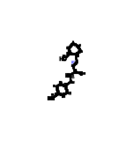 O=C(/C=C/c1ccccc1O)NCc1ccc(O)cc1